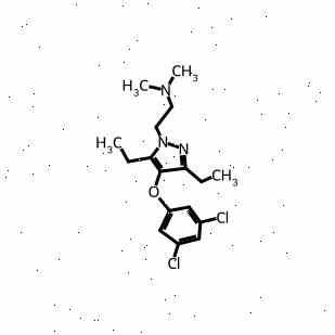 CCc1nn(CCN(C)C)c(CC)c1Oc1cc(Cl)cc(Cl)c1